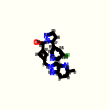 Cc1ccc2nn(CC34CC(C(=O)N5N=CCC5c5cncc(F)c5)(C3)C4)cc2n1